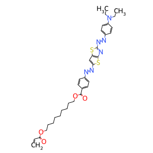 C=CC(=O)OCCCCCCCCCOC(=O)c1ccc(N=Nc2cc3sc(N=Nc4ccc(N(CC)CC)cc4)nc3s2)cc1